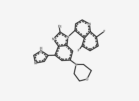 CCc1nc2c(-c3cnc[nH]3)cc(N3CCOCC3)cc2n1-c1ccnc2c(F)ccc(F)c12